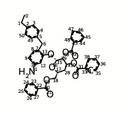 CCc1ccc(Cc2ccc(N)cc2O[C@H]2O[C@H](COC(=O)c3ccccc3)C[C@H](OC(=O)c3ccccc3)[C@H]2OC(=O)c2ccccc2)cc1